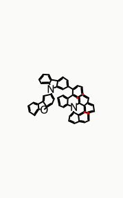 c1ccc(-c2ccccc2N(c2cccc3ccccc23)c2cccc3ccccc23)c(-c2ccc3c4ccccc4n(-c4ccc5oc6ccccc6c5c4)c3c2)c1